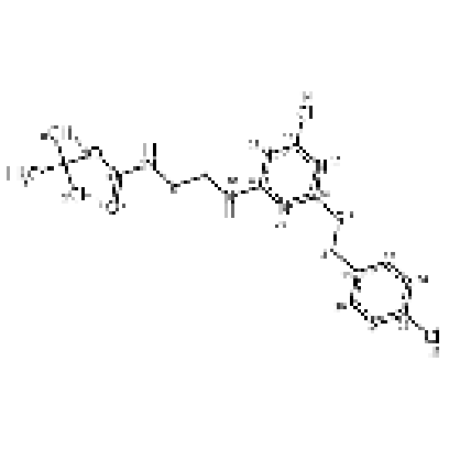 CC(C)(C)OC(=O)NCCNc1nc(Cl)nc(SCc2ccc(Cl)cc2)n1